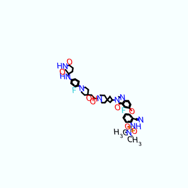 CCN(C)S(=O)(=O)Nc1ccc(F)c(Oc2ccc3ncn(C4CC5(CCN(C(=O)CC6(O)CCN(c7ccc(NC8CCC(=O)NC8=O)cc7F)CC6)CC5)C4)c(=O)c3c2)c1C#N